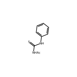 CC(=O)NC(=S)Nc1ccccc1